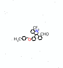 Cc1ccc(COc2cccc(-c3c(-c4ccccc4C=O)cnc4c(C(F)(F)F)cccc34)c2)cc1